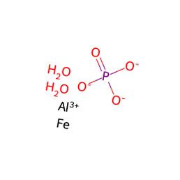 O.O.O=P([O-])([O-])[O-].[Al+3].[Fe]